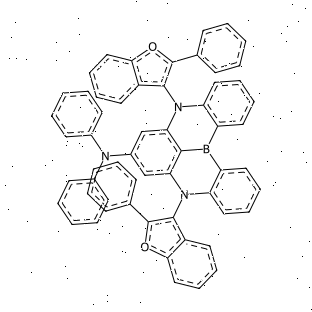 c1ccc(-c2oc3ccccc3c2N2c3ccccc3B3c4ccccc4N(c4c(-c5ccccc5)oc5ccccc45)c4cc(N(c5ccccc5)c5ccccc5)cc2c43)cc1